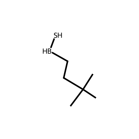 CC(C)(C)CCBS